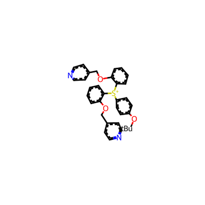 CC(C)(C)Oc1ccc([S+](c2ccccc2OCc2ccncc2)c2ccccc2OCc2ccncc2)cc1